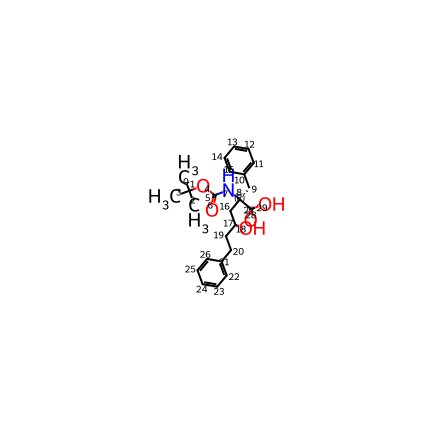 CC(C)(C)OC(=O)N[C@](Cc1ccccc1)(CC(O)CCc1ccccc1)C(=O)O